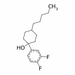 CCCCCC1CCC(O)(c2ccc(F)c(F)c2)CC1